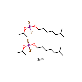 CC(C)CCCCCOP(=S)([S-])OC(C)C.CC(C)CCCCCOP(=S)([S-])OC(C)C.[Zn+2]